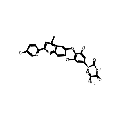 Cc1cc(-c2ccc(Br)cn2)nc2ccc(Oc3c(Cl)cc(-n4nc(N)c(=O)[nH]c4=O)cc3Cl)cc12